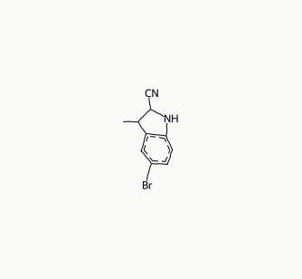 CC1c2cc(Br)ccc2NC1C#N